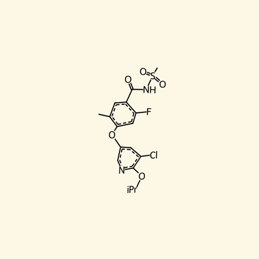 Cc1cc(C(=O)NS(C)(=O)=O)c(F)cc1Oc1cnc(OC(C)C)c(Cl)c1